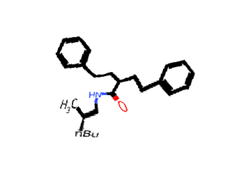 CCCC[C@@H](C)CNC(=O)C(CCc1ccccc1)CCc1ccccc1